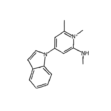 CNc1cc(-n2ccc3ccccc32)cc(C)[n+]1C